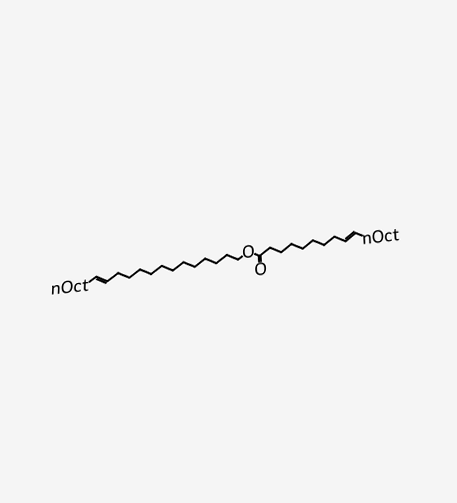 CCCCCCCCC=CCCCCCCCCCCCCOC(=O)CCCCCCCC=CCCCCCCCC